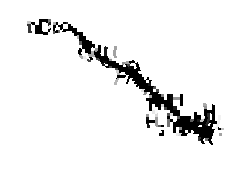 CCCCCCCCCCCCCCCCCC(=O)NCCOCCOCC(=O)NCCOCCOCC(=O)NCCCC[C@H](CC(=O)[C@@H](N)Cc1cnc[nH]1)C(N)=O